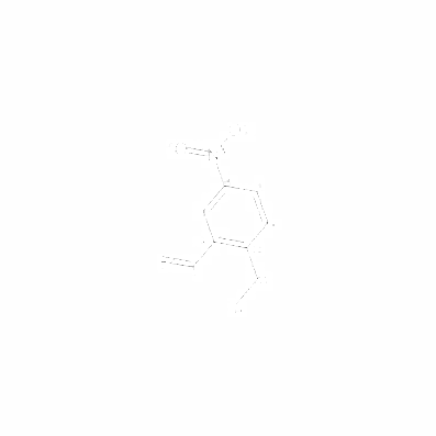 C=[C]c1cc([N+](=O)[O-])ccc1CC